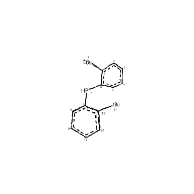 CC(C)(C)c1ccccc1Pc1ccccc1C(C)(C)C